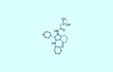 C[C@@H](O)CC(=O)Nn1c2c(c(Nc3ccccc3)c1-c1ccncc1)C(=O)CCC2